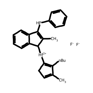 CCCCC1=[C]([Hf+2][CH]2C(C)=C(Pc3ccccc3)c3ccccc32)CC=C1C.[F-].[F-]